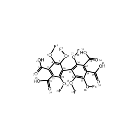 O=C(O)c1c(OF)c(OF)c(-c2c(OF)c(OF)c(C(=O)O)c(C(=O)O)c2OF)c(OF)c1C(=O)O